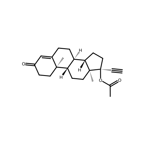 C#C[C@@]1(OC(C)=O)CC[C@H]2[C@@H]3CCC4=CC(=O)CC[C@]4(C)[C@H]3CC[C@@]21C